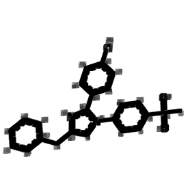 CS(=O)(=O)c1ccc(-n2cc(Cc3ccccc3)nc2-c2ccc(Cl)cc2)cc1